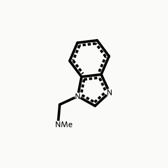 CNCn1cnc2ccccc21